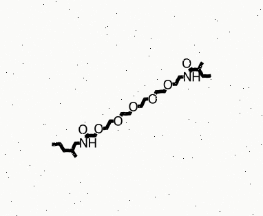 CCCC(C)CNC(=O)COCCOCCOCCOCCOCCNC(=O)C(C)CC